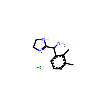 Cc1cccc(C(N)C2=NCCN2)c1C.Cl